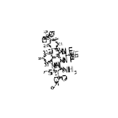 CCOC(=O)c1c(SC)nn(-c2nc(C(F)(F)F)nc(-c3ccc(S(C)(=O)=O)cc3)c2-c2ccccc2)c1N